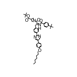 CCCCCCCOc1ccc(-c2cnc(-c3ccc(C[C@H](NC(=O)c4ccc(C(C)(C)C)cc4)C(=O)N4CC(C(=O)OC(C)(C)C)C4)cc3)nc2)cc1